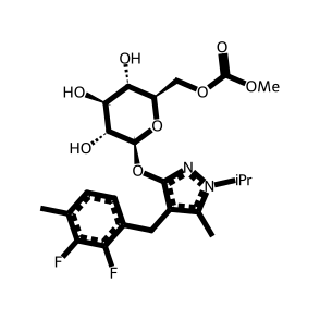 COC(=O)OC[C@H]1O[C@@H](Oc2nn(C(C)C)c(C)c2Cc2ccc(C)c(F)c2F)[C@H](O)[C@@H](O)[C@@H]1O